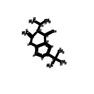 C=C1Oc2nnc(C(C)(C)C)cc2C(=O)N1C(C)C